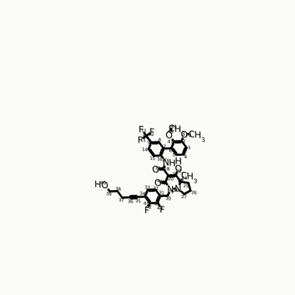 COc1cccc(-c2cc(C(F)(F)F)ccc2NC(=O)C2=C(O)[C@@]3(C)CCCN3N(Cc3ccc(C#CCCCO)c(F)c3F)C2=O)c1OC